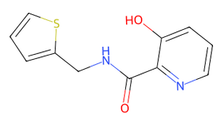 O=C(NCc1cccs1)c1ncccc1O